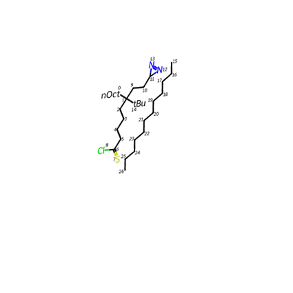 CCCCCCCCC(CCCCC(=S)Cl)(CCC1N=N1)C(C)(C)C.CCCCCCCCCCCC